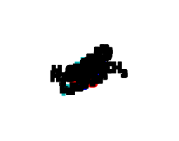 COc1ccc(OCCN(CCCF)C(=O)OC(C)(C)C)cc1[C@@H]1c2[nH]c3ccccc3c2CCN1CC(F)(F)F